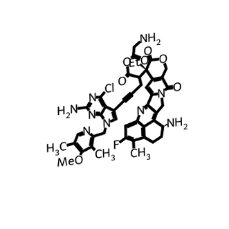 CC[C@@]1(C(CC#Cc2cn(Cc3ncc(C)c(OC)c3C)c3nc(N)nc(Cl)c23)C(=O)OC(=O)CN)C(=O)OCc2c1cc1n(c2=O)Cc2c-1nc1cc(F)c(C)c3c1c2[C@H](N)CC3